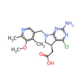 COc1c(C)ncc(CN2C[C@H](CC(=O)O)c3c(Cl)nc(N)nc32)c1C